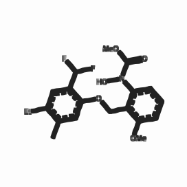 CCc1cc(C(F)F)c(OCc2c(OC)cccc2N(O)C(=O)OC)cc1C